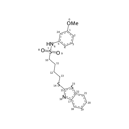 COc1cccc(NS(=O)(=O)CCCCSc2nc3ccccc3s2)c1